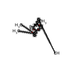 C#CC#CC#CC#CC#CC#CC#CC#CC#CC#CC#CC#CC#CC#CC#CC#CC1(C)c2ccccc2-c2ccc(-c3c4nc(c(Br)c5ccc([nH]5)c(-c5ccc6c(c5)C(CCCCCCCCCCCCCCCC)(CCCCCCCCCCCCCCCC)c5ccccc5-6)c5nc(c(Br)c6ccc3[nH]6)C=C5)C=C4)cc21